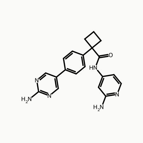 Nc1cc(NC(=O)C2(c3ccc(-c4cnc(N)nc4)cc3)CCC2)ccn1